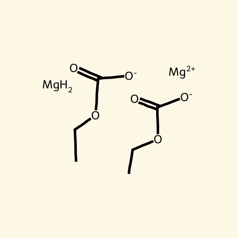 CCOC(=O)[O-].CCOC(=O)[O-].[Mg+2].[MgH2]